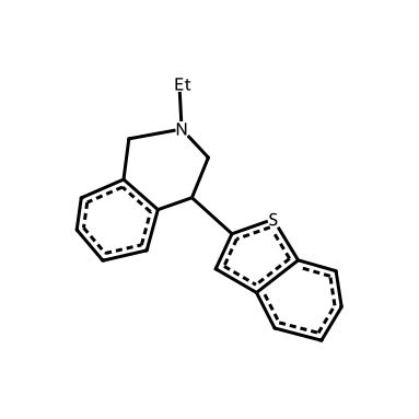 CCN1Cc2ccccc2C(c2cc3ccccc3s2)C1